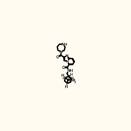 CC1(C)[C@H]2CC[C@@H](CNC(=O)c3cccc4nc(C(=O)N5CCCNCC5)cn34)[C@@H]1C2